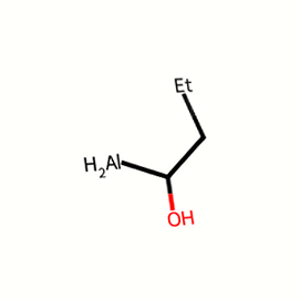 CCC[CH](O)[AlH2]